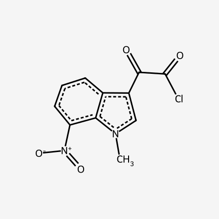 Cn1cc(C(=O)C(=O)Cl)c2cccc([N+](=O)[O-])c21